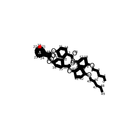 CCCCCOc1ccc(OC(=O)c2ccc(OC(=O)[C]34[CH]5[CH]6[CH]7[CH]3[Fe]6754389%10[CH]4[CH]3[CH]8[C]9(C(=O)Oc3ccc(C(=O)Oc5ccc(OCCCCC)cc5)cc3)[CH]4%10)cc2)cc1